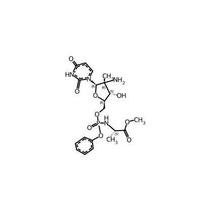 COC(=O)[C@H](C)NP(=O)(OC[C@H]1O[C@@H](n2ccc(=O)[nH]c2=O)[C@](C)(N)[C@@H]1O)Oc1ccccc1